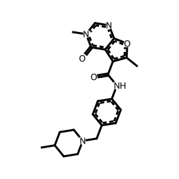 Cc1oc2ncn(C)c(=O)c2c1C(=O)Nc1ccc(CN2CCC(C)CC2)cc1